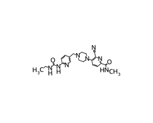 CCNC(=O)Nc1ccc(CN2CCN(c3ccc(C(=O)NC)nc3C#N)CC2)cn1